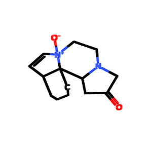 O=C1CC2N(CC[N+]3([O-])C=CC4CCCCC423)C1